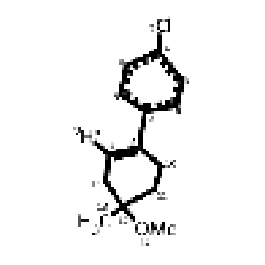 [2H]C1=C(c2ccc(Cl)cc2)CCC(C)(OC)C1